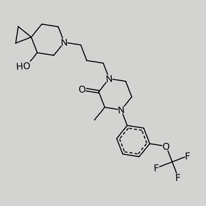 CC1C(=O)N(CCCN2CCC3(CC3)C(O)C2)CCN1c1cccc(OC(F)(F)F)c1